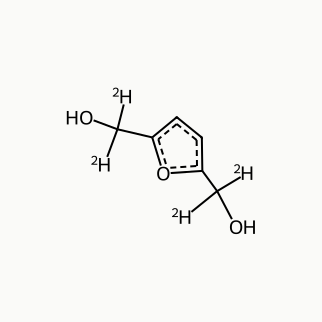 [2H]C([2H])(O)c1ccc(C([2H])([2H])O)o1